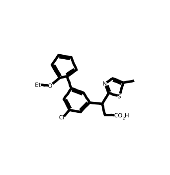 CCOc1ccccc1-c1cc(Cl)cc(C(CC(=O)O)c2ncc(C)s2)c1